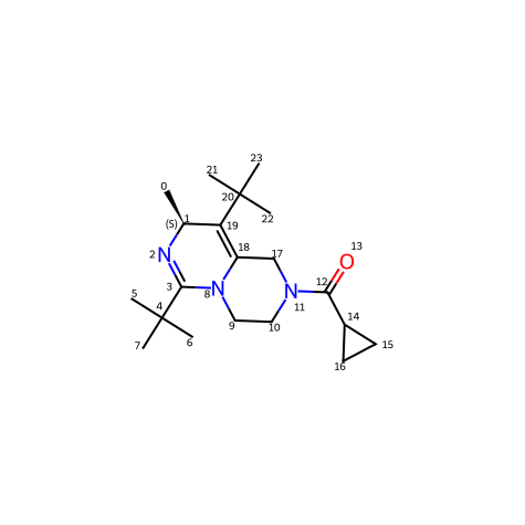 C[C@@H]1N=C(C(C)(C)C)N2CCN(C(=O)C3CC3)CC2=C1C(C)(C)C